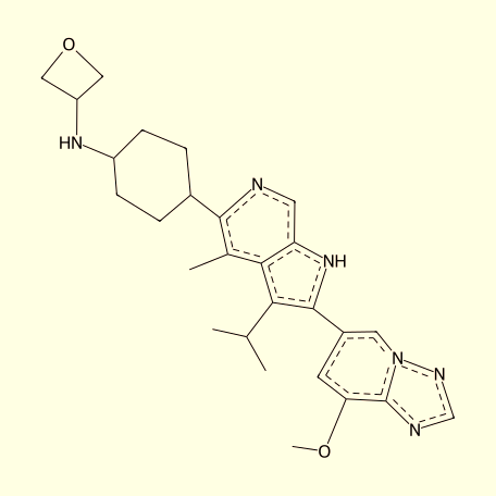 COc1cc(-c2[nH]c3cnc(C4CCC(NC5COC5)CC4)c(C)c3c2C(C)C)cn2ncnc12